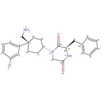 NC[C@]1(c2cccc(Cl)c2)CC[C@@H](N2CC(=O)N[C@H](Cc3ccccc3)C2=O)CC1